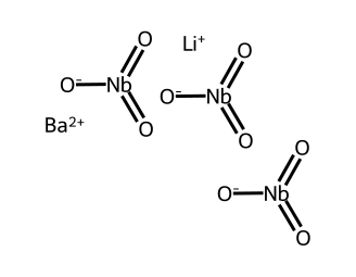 [Ba+2].[Li+].[O]=[Nb](=[O])[O-].[O]=[Nb](=[O])[O-].[O]=[Nb](=[O])[O-]